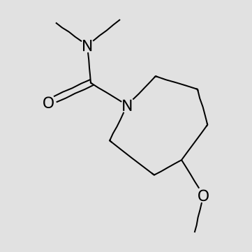 COC1CCCN(C(=O)N(C)C)CC1